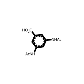 CC(=O)Nc1cc(NC(C)=O)cc(C(=O)O)c1